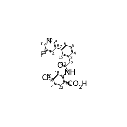 O=C(Cc1cccc(-c2cncc(F)c2)c1)Nc1cc(Cl)ccc1C(=O)O